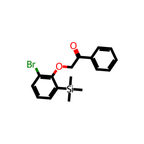 C[Si](C)(C)c1cccc(Br)c1OCC(=O)c1ccccc1